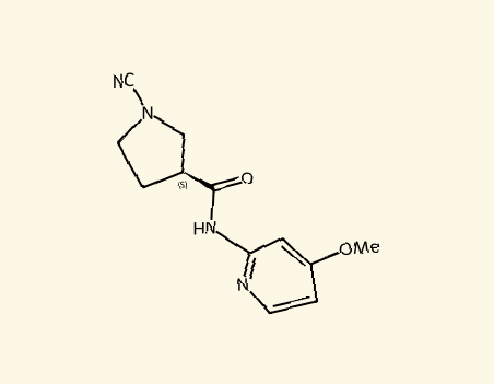 COc1ccnc(NC(=O)[C@H]2CCN(C#N)C2)c1